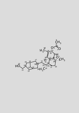 CC(=O)O[C@@H]1[C][C@@]2(O)[C@H](C)CC[C@@H]([C@H](C)CN3CC4CC(CO)CC(C4)C3)[C@H]2C=C1C